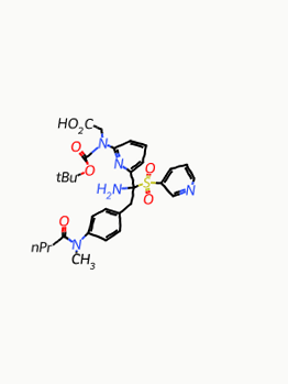 CCCC(=O)N(C)c1ccc(CC(N)(c2cccc(N(CC(=O)O)C(=O)OC(C)(C)C)n2)S(=O)(=O)c2cccnc2)cc1